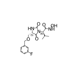 CC(C)[C@H](C(=O)NO)N1C(=O)N[C@@H](COCc2cccc(F)c2)C1=O